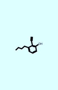 C#Cc1c(O)cccc1CCCC